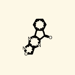 O=C1c2ccccc2-c2nc3nocc3nc21